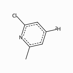 [2H]c1cc(C)nc(Cl)c1